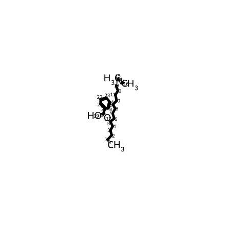 CCCCCCCCCCCCCCN(C)C.O=C(O)c1ccccc1